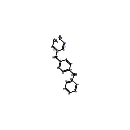 C/C=C\C(=C/C)Nc1ccc(Nc2ccccc2)cc1